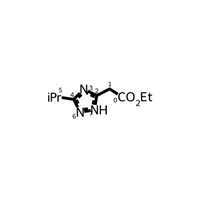 CCOC(=O)Cc1nc(C(C)C)n[nH]1